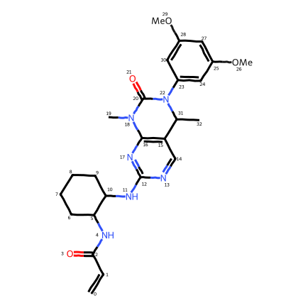 C=CC(=O)NC1CCCCC1Nc1ncc2c(n1)N(C)C(=O)N(c1cc(OC)cc(OC)c1)C2C